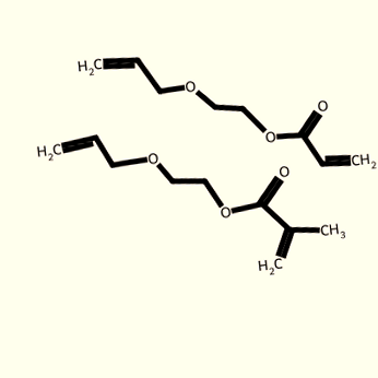 C=CCOCCOC(=O)C(=C)C.C=CCOCCOC(=O)C=C